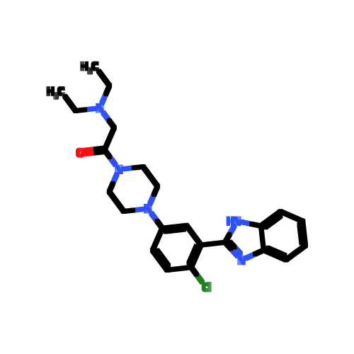 CCN(CC)CC(=O)N1CCN(c2ccc(Cl)c(-c3nc4ccccc4[nH]3)c2)CC1